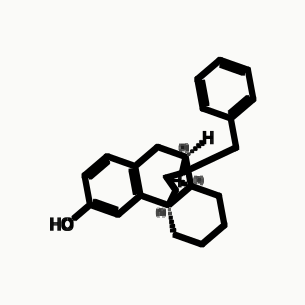 Oc1ccc2c(c1)[C@]13CCCC[C@@H]1[C@H](C2)C(Cc1ccccc1)CC3